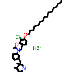 Br.CCCCCCCCCCCCCCCCOc1ccc(CN(C(C)=O)c2cccc(CC3(C)CN=CC=C3C)c2)cc1Cl